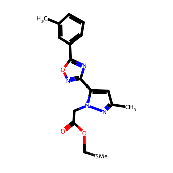 CSCOC(=O)Cn1nc(C)cc1-c1noc(-c2cccc(C)c2)n1